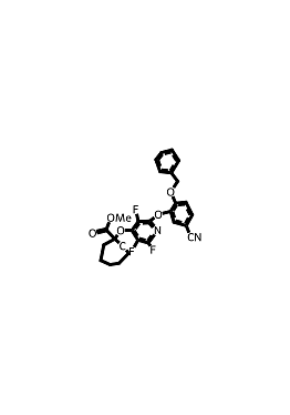 COC(=O)C1(Oc2c(F)c(F)nc(Oc3cc(C#N)ccc3OCc3ccccc3)c2F)CCCCCC1